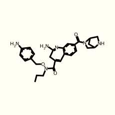 CCCN(OCc1ccc(N)cc1)C(=O)C1=Cc2ccc(C(=O)N3CC4CC3CN4)cc2N=C(N)C1